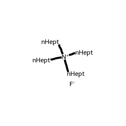 CCCCCCC[N+](CCCCCCC)(CCCCCCC)CCCCCCC.[F-]